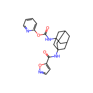 O=C(NC12CC3CC(C1)CC(NC(=O)c1ccno1)(C3)C2)Oc1ccccn1